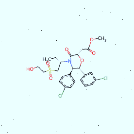 CC[C@@H](CS(=O)(=O)CCO)N1C(=O)[C@H](CC(=O)OC)O[C@H](c2cccc(Cl)c2)[C@H]1c1ccc(Cl)cc1